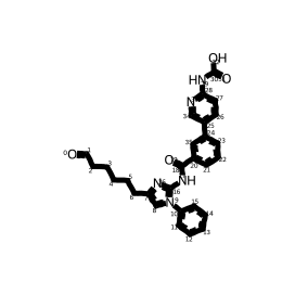 O=CCCCCCc1cn(-c2ccccc2)c(NC(=O)c2cccc(-c3ccc(NC(=O)O)nc3)c2)n1